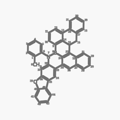 Cc1ccccc1N1B2c3cccc4c3C(Cc3ccccc3-4)c3c2c(cc2ccccc32)-c2cc3c(cc21)oc1ccccc13